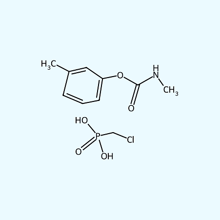 CNC(=O)Oc1cccc(C)c1.O=P(O)(O)CCl